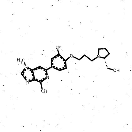 Cn1cnc2c(C#N)nc(-c3ccc(OCCCN4CCC[C@@H]4CO)c(C(F)(F)F)c3)cc21